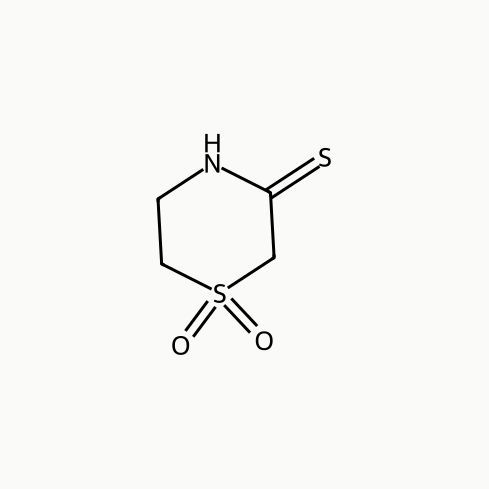 O=S1(=O)CCNC(=S)C1